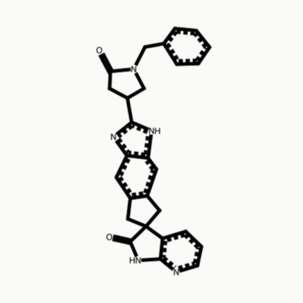 O=C1CC(c2nc3cc4c(cc3[nH]2)CC2(C4)C(=O)Nc3ncccc32)CN1Cc1ccccc1